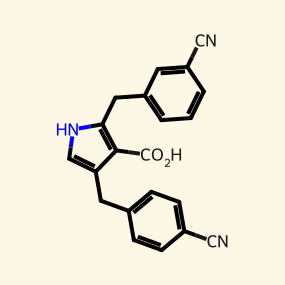 N#Cc1ccc(Cc2c[nH]c(Cc3cccc(C#N)c3)c2C(=O)O)cc1